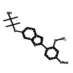 CCCCCc1ccc(-c2cc3ccc(OC(C)(C)C(C)(C)O)cc3s2)c(OC(F)(F)F)c1